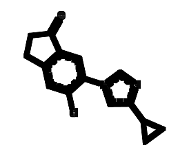 O=C1CCc2cc(Cl)c(-n3cnc(C4CC4)c3)cc21